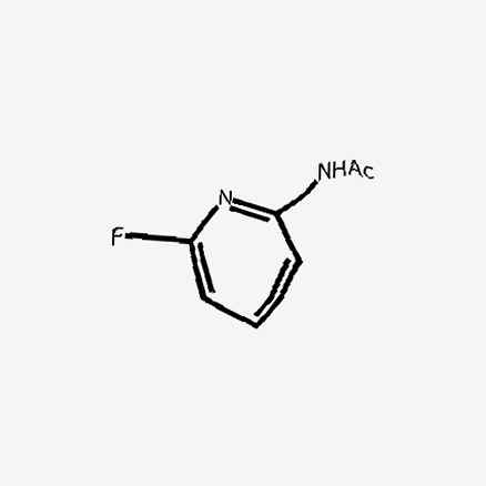 CC(=O)Nc1cccc(F)n1